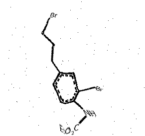 CCOC(=O)Nc1ccc(CCCBr)cc1Br